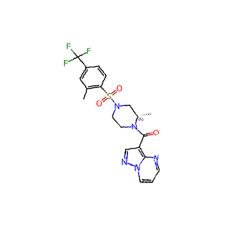 Cc1cc(C(F)(F)F)ccc1S(=O)(=O)N1CCN(C(=O)c2cnn3cccnc23)[C@@H](C)C1